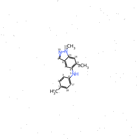 Cc1ccc(Nc2cc3cnn(C)c3cc2C)cc1